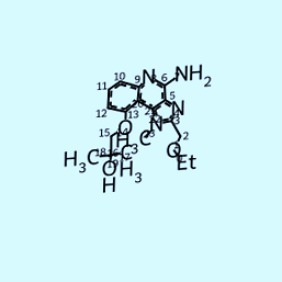 CCOCc1nc2c(N)nc3cccc(OCC(C)(C)O)c3c2n1C